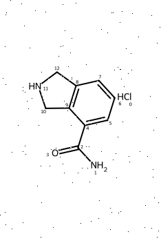 Cl.NC(=O)c1cccc2c1CNC2